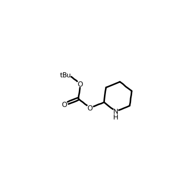 CC(C)(C)OC(=O)OC1CCCCN1